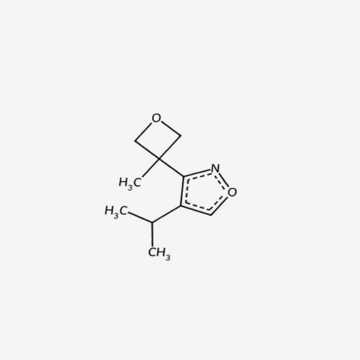 CC(C)c1conc1C1(C)COC1